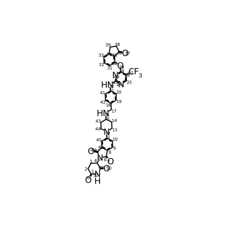 O=C1CCC(N2C(=O)c3ccc(N4CCC(NCc5ccc(Nc6ncc(C(F)(F)F)c(Oc7cccc8c7C(=O)CC8)n6)cc5)CC4)cc3C2=O)C(=O)N1